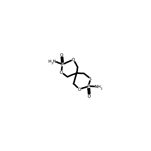 NP1(=O)OCC2(CO1)COP(N)(=O)SC2